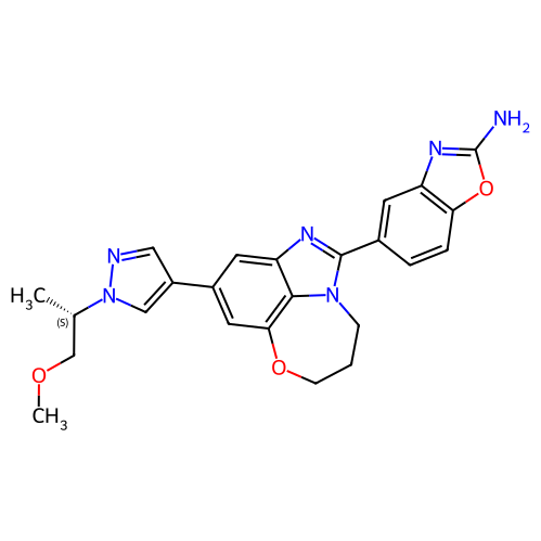 COC[C@H](C)n1cc(-c2cc3c4c(c2)nc(-c2ccc5oc(N)nc5c2)n4CCCO3)cn1